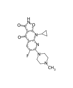 CN1CCN(c2nc3c(cc2F)c(=O)c2c(=O)[nH]oc2n3C2CC2)CC1